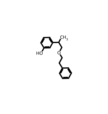 CC(COCCc1ccccc1)c1cccc(O)c1